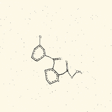 COC(=O)c1ncccc1C(=O)c1cccc(Cl)c1